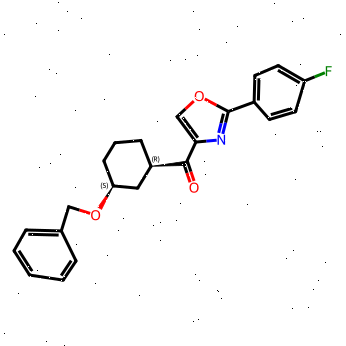 O=C(c1coc(-c2ccc(F)cc2)n1)[C@@H]1CCC[C@H](OCc2ccccc2)C1